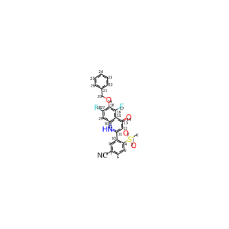 CS(=O)(=O)c1ccc(C#N)cc1-c1cc(=O)c2c(F)c(OCc3ccccc3)c(F)cc2[nH]1